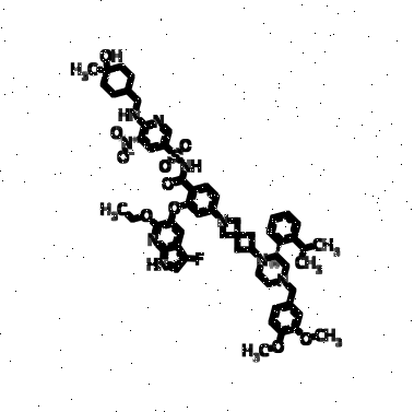 CCOc1nc2[nH]cc(F)c2cc1Oc1cc(N2CC3(CC(N4CCN(Cc5ccc(OC)c(OC)c5)C[C@H]4c4ccccc4C(C)C)C3)C2)ccc1C(=O)NS(=O)(=O)c1cnc(NCC2CCC(C)(O)CC2)c([N+](=O)[O-])c1